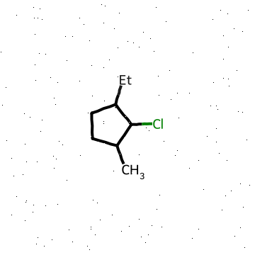 CC[C]1CCC(C)C1Cl